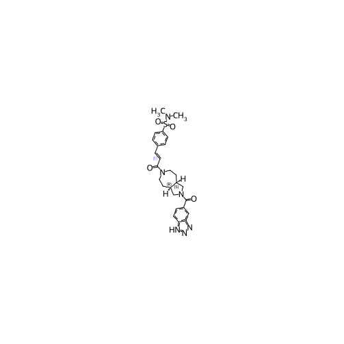 CN(C)S(=O)(=O)c1ccc(/C=C/C(=O)N2CC[C@@H]3CN(C(=O)c4ccc5[nH]nnc5c4)C[C@@H]3CC2)cc1